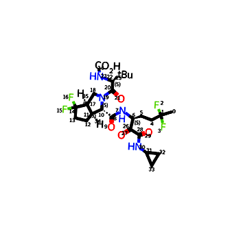 CC(F)(F)CC[C@H](NC(=O)[C@@H]1[C@H]2CCC(F)(F)[C@H]2CN1C(=O)[C@@H](NC(=O)O)C(C)(C)C)C(=O)C(=O)NC1CC1